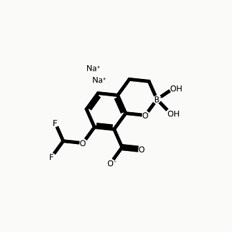 O=C([O-])c1c(OC(F)F)ccc2c1O[B-](O)(O)CC2.[Na+].[Na+]